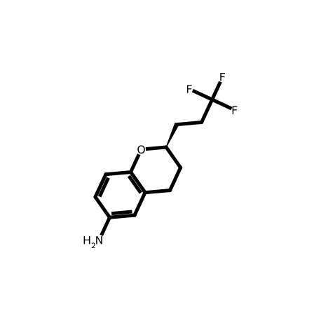 Nc1ccc2c(c1)CC[C@H](CCC(F)(F)F)O2